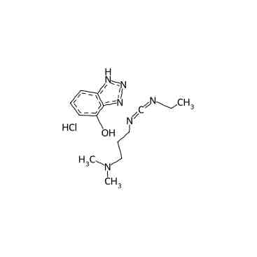 CCN=C=NCCCN(C)C.Cl.Oc1cccc2[nH]nnc12